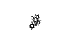 CC(=O)[C@H]1CCCN1C(=O)[C@@H](Cc1ccccc1)NC(C)C